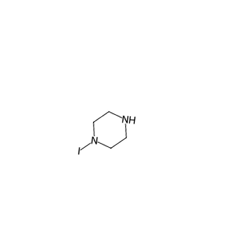 IN1CCNCC1